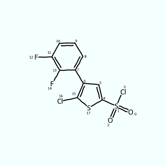 O=S(=O)(Cl)c1cc(-c2cccc(F)c2F)c(Cl)s1